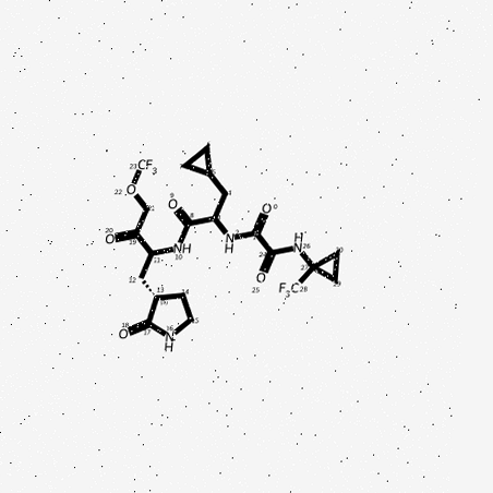 O=C(NC(CC1CC1)C(=O)NC(C[C@@H]1CCNC1=O)C(=O)COC(F)(F)F)C(=O)NC1(C(F)(F)F)CC1